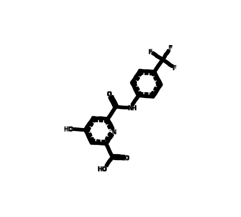 O=C(O)c1cc(O)cc(C(=O)Nc2ccc(C(F)(F)F)cc2)n1